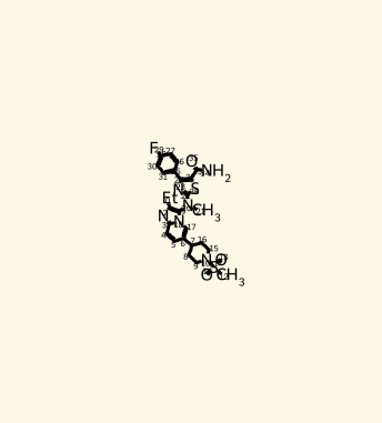 CCc1nc2ccc(C3CCN(S(C)(=O)=O)CC3)cn2c1N(C)c1nc(-c2ccc(F)cc2)c(C(N)=O)s1